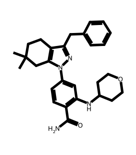 CC1(C)CCc2c(Cc3ccccc3)nn(-c3ccc(C(N)=O)c(NC4CCOCC4)c3)c2C1